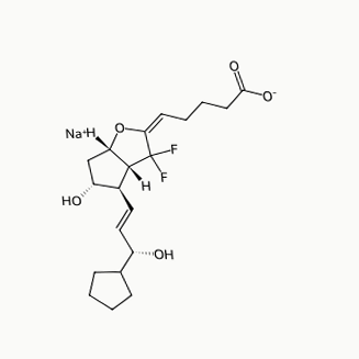 O=C([O-])CCCC=C1O[C@H]2C[C@@H](O)[C@H](C=C[C@H](O)C3CCCC3)[C@H]2C1(F)F.[Na+]